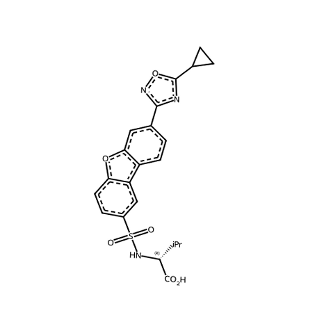 CC(C)[C@@H](NS(=O)(=O)c1ccc2oc3cc(-c4noc(C5CC5)n4)ccc3c2c1)C(=O)O